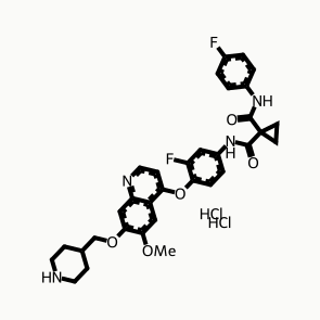 COc1cc2c(Oc3ccc(NC(=O)C4(C(=O)Nc5ccc(F)cc5)CC4)cc3F)ccnc2cc1OCC1CCNCC1.Cl.Cl